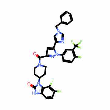 O=C(c1cc(-c2cn(Cc3ccccc3)cn2)n(-c2ccc(F)c(C(F)(F)F)c2)n1)N1CCC(n2c(=O)[nH]c3ccc(F)c(F)c32)CC1